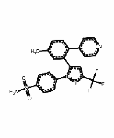 Cc1ccc(-c2ccncc2)c(-c2cc(C(F)(F)F)nn2-c2ccc(S(N)(=O)=O)cc2)c1